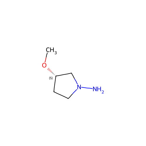 CO[C@H]1CCN(N)C1